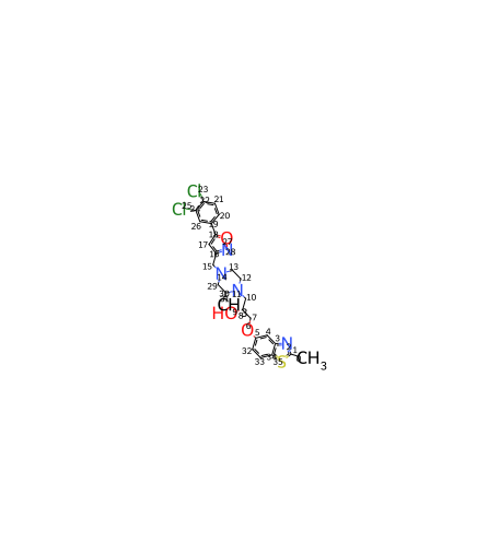 Cc1nc2cc(OC[C@H](O)CN3CCN(Cc4cc(-c5ccc(Cl)c(Cl)c5)on4)C[C@@H]3C)ccc2s1